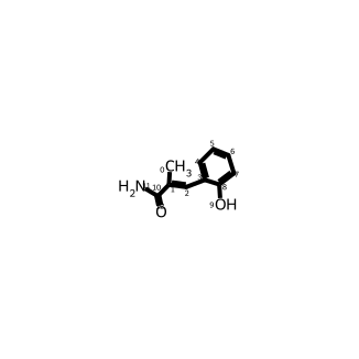 C/C(=C\c1ccccc1O)C(N)=O